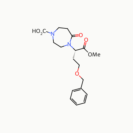 COC(=O)[C@H](CCOCc1ccccc1)N1CCN(C(=O)O)CCC1=O